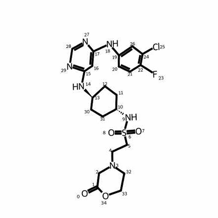 O=C1CN(CCS(=O)(=O)N[C@H]2CC[C@H](Nc3cc(Nc4ccc(F)c(Cl)c4)ncn3)CC2)CCO1